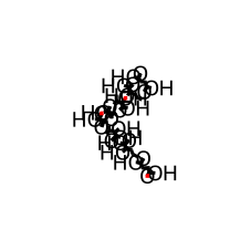 CC(=O)C(=O)O.CC(=O)C(=O)O.CC(C)C(O)C(=O)O.CC(C)C(O)C(=O)O.CCCC(O)C(=O)O.CCCC(O)C(=O)O.O=C(O)CCC(=O)O.O=C(O)CCC(=O)O